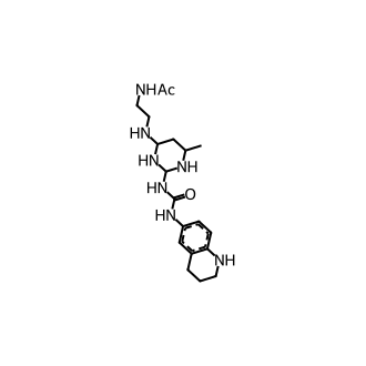 CC(=O)NCCNC1CC(C)NC(NC(=O)Nc2ccc3c(c2)CCCN3)N1